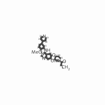 C=CC(=O)N1CCC(Oc2cc3c(Nc4cc(-c5ccncc5)ccc4OC)ncnc3cc2OC)CC1